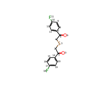 O=C(CSCC(=O)c1ccc(F)cc1)c1ccc(F)cc1